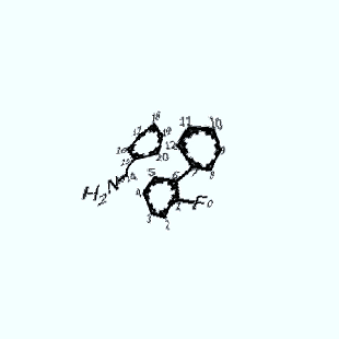 Fc1ccccc1-c1ccccc1.NCc1ccccc1